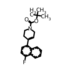 CC(C)(C)OC(=O)N1CC=C(c2ccc(F)c3ccccc23)CC1